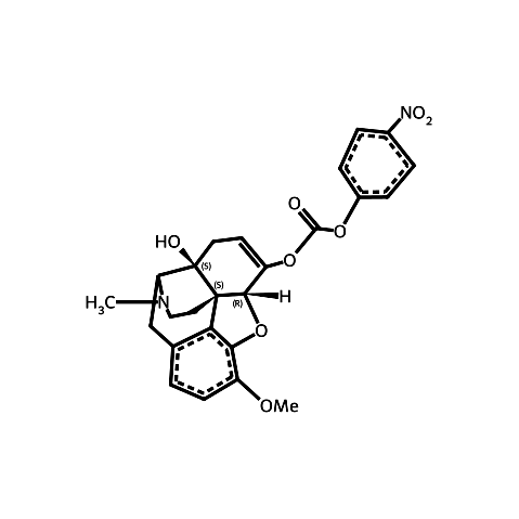 COc1ccc2c3c1O[C@H]1C(OC(=O)Oc4ccc([N+](=O)[O-])cc4)=CC[C@@]4(O)C(C2)N(C)CC[C@]314